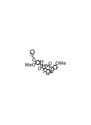 COc1ccc(Cl)c(N2C(=O)Nc3c(C(=O)Nc4ccc(OCCN5CCCCC5)c(OC)c4)sc4ncnc2c34)c1